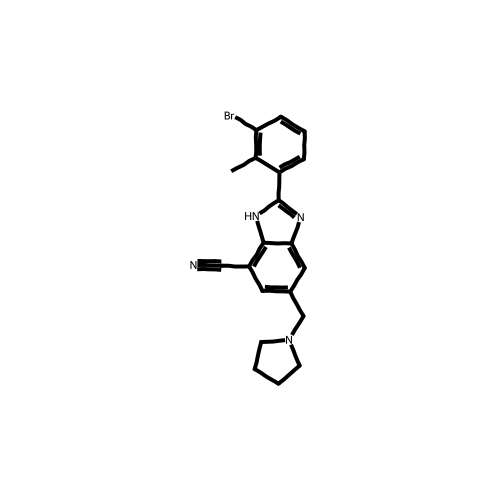 Cc1c(Br)cccc1-c1nc2cc(CN3CCCC3)cc(C#N)c2[nH]1